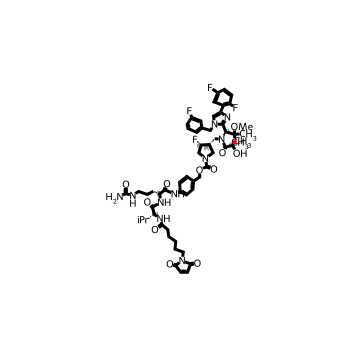 COC(C)(C)[C@H](c1nc(-c2cc(F)ccc2F)cn1Cc1cccc(F)c1)N(C[C@@H]1CN(C(=O)OCc2ccc(NC(=O)[C@@H](CCCNC(N)=O)NC(=O)[C@H](NC(=O)CCCCCN3C(=O)C=CC3=O)C(C)C)cc2)C[C@@H]1F)C(=O)[C@H](C)O